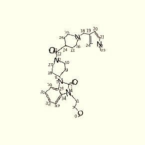 COCCn1c(=O)n(C2CCN(C(=O)C3CCN(Cc4ccn(C)c4)CC3)CC2)c2ccccc21